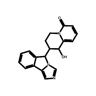 O=c1cccc2n1CCC(C1c3ccccc3-c3cncn31)C2O